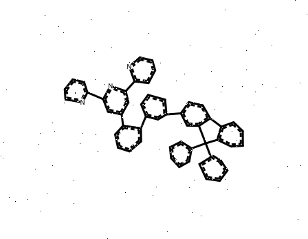 c1ccc(C2(c3ccccc3)c3ccccc3-c3ccc(-c4cccc(-c5ccccc5-c5cc(-c6ccccn6)nc(-c6ccccn6)c5)c4)cc32)cc1